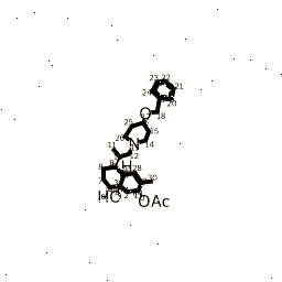 CC(=O)O[C@@H]1[CH][C@@]2(O)[C@H](C)CC[C@@H](C(C)CN3CCC(OCc4ccccc4)CC3)[C@H]2C=C1C